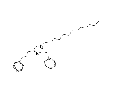 CCCCCCCCCCCCCn1cc(CCCc2ccccc2)nc1Cc1ccccc1